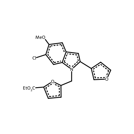 CCOC(=O)c1ccc(Cn2c(-c3ccoc3)cc3cc(OC)c(Cl)cc32)o1